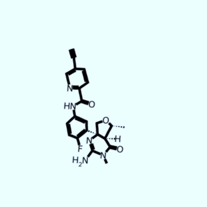 C#Cc1ccc(C(=O)Nc2ccc(F)c([C@]34CO[C@H](C)[C@H]3C(=O)N(C)C(N)=N4)c2)nc1